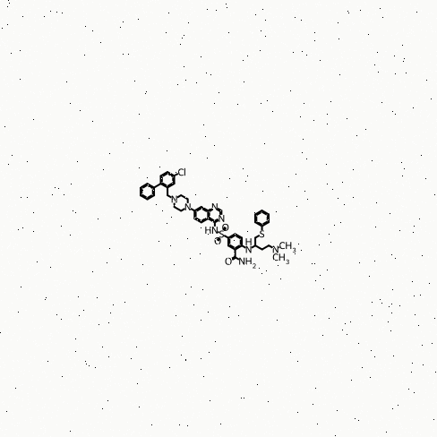 CN(C)CCC(CSc1ccccc1)Nc1ccc(S(=O)(=O)Nc2ncnc3cc(N4CCN(Cc5cc(Cl)ccc5-c5ccccc5)CC4)ccc23)cc1C(N)=O